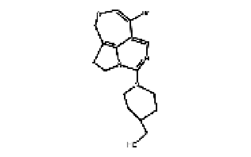 OCC1CCN(C2=NC=C3C(Br)=COCC4=C3N2CC4)CC1